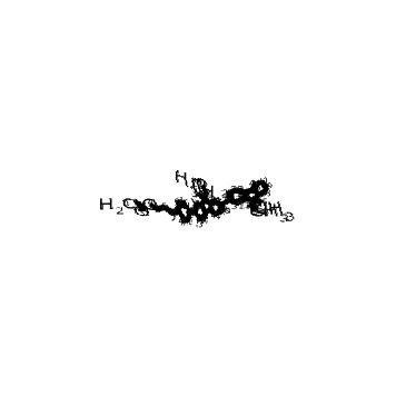 C=CC(=O)OCCCc1ccc(-c2ccc3c(c2)C(CC)(CC)c2cc(-c4ccc5c(c4)C(CC)(CC)c4ccccc4-5)ccc2-3)cc1